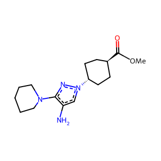 COC(=O)[C@H]1CC[C@H](n2cc(N)c(N3CCCCC3)n2)CC1